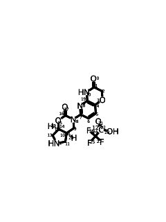 O=C1COc2ccc(N3C[C@H]4CNC[C@H]4OC3=O)nc2N1.O=[12C](O)C(F)(F)F